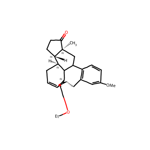 CCOC1=CC2=CC[C@@H]3C4C(C[C@]5(C)C(=O)CC[C@@H]35)c3ccc(OC)cc3C[C@]24CC1